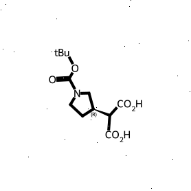 CC(C)(C)OC(=O)N1CC[C@H](C(C(=O)O)C(=O)O)C1